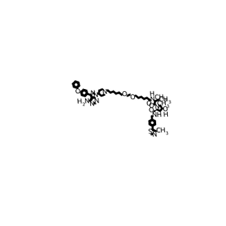 Cc1ncsc1-c1ccc(CNC(=O)[C@@H]2C[C@@H](O)CN2C(=O)[C@@H](NC(=O)CCCCCOCCOCCCCCCN2CCC(n3nc(-c4ccc(Oc5ccccc5)cc4)c4c(N)ncnc43)CC2)C(C)(C)C)cc1